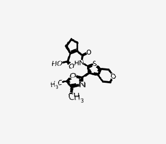 Cc1nc(-c2c(NC(=O)C3=C(C(=O)O)CCC3)sc3c2CCOC3)oc1C